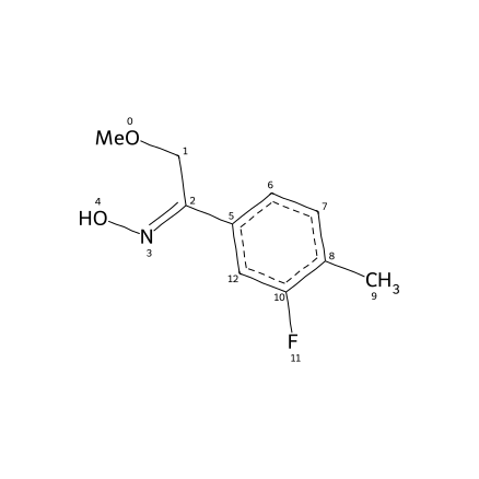 COCC(=NO)c1ccc(C)c(F)c1